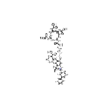 Cc1c(/C=C/c2cc(OCCOCCNC(=O)CN3CCN(CC(=O)O)CCN(CC(=O)O)CN(CC(=O)O)CC3)c(CN3CCCC[C@H]3C(=O)O)cc2C(F)(F)F)cccc1-c1ccccc1